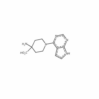 NC1(C(=O)O)CCN(c2ncnc3[nH]ccc23)CC1